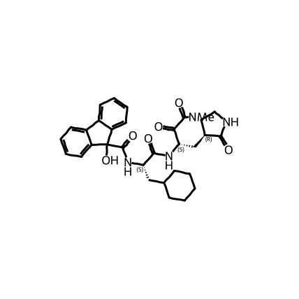 CNC(=O)C(=O)[C@H](C[C@H]1CCNC1=O)NC(=O)[C@H](CC1CCCCC1)NC(=O)C1(O)c2ccccc2-c2ccccc21